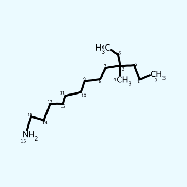 CCCC(C)(CC)CCCCCCCCCN